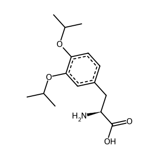 CC(C)Oc1ccc(C[C@H](N)C(=O)O)cc1OC(C)C